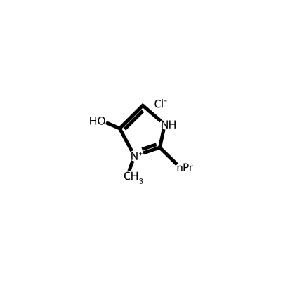 CCCc1[nH]cc(O)[n+]1C.[Cl-]